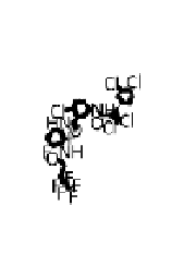 O=C(CCC(F)(F)C(F)(F)F)Nc1c(F)ccc(NC(=O)c2cc(NC(=O)[C@H]3[C@H](c4ccc(Cl)c(Cl)c4)C3(Cl)Cl)ccc2Cl)c1F